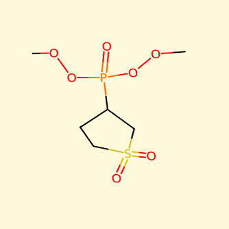 COOP(=O)(OOC)C1CCS(=O)(=O)C1